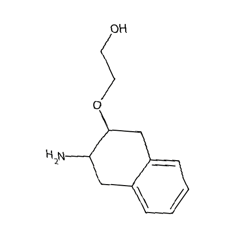 NC1Cc2ccccc2CC1OCCO